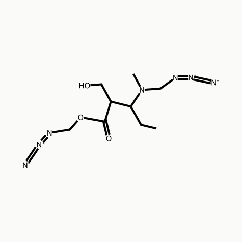 CCC(C(CO)C(=O)OCN=[N+]=[N-])N(C)CN=[N+]=[N-]